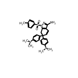 Cc1ccc(S(=O)(=O)n2nc(N)c3c2CC(c2ccc(N(C)C)cc2)(c2ccc(N(C)C)cc2)C=C3)cc1